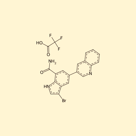 NC(=O)c1cc(-c2cnc3ccccc3c2)cc2c(Br)c[nH]c12.O=C(O)C(F)(F)F